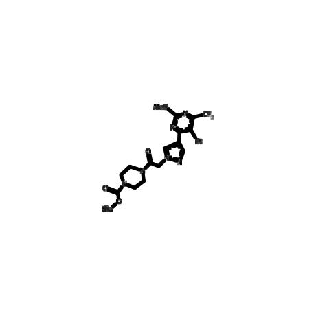 CCc1c(-c2cnn(CC(=O)N3CCN(C(=O)OC(C)(C)C)CC3)c2)nc(SC)nc1C(F)(F)F